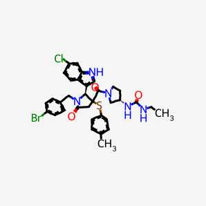 CCNC(=O)N[C@H]1CCN(C(=O)C2(Sc3ccc(C)cc3)CC(=O)N(Cc3ccc(Br)cc3)[C@H]2c2c[nH]c3cc(Cl)ccc23)C1